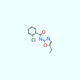 CCC1=C[N]C(=NC(=O)c2ccccc2Cl)O1